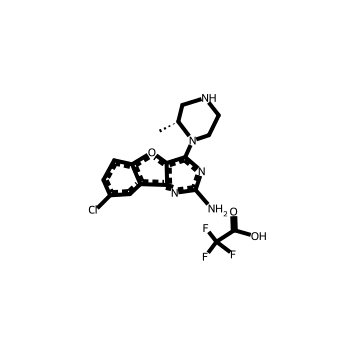 C[C@@H]1CNCCN1c1nc(N)nc2c1oc1ccc(Cl)cc12.O=C(O)C(F)(F)F